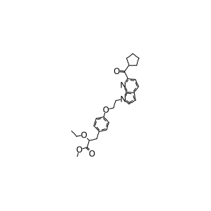 CCOC(Cc1ccc(OCCn2ccc3ccc(C(=O)C4CCCC4)nc32)cc1)C(=O)OC